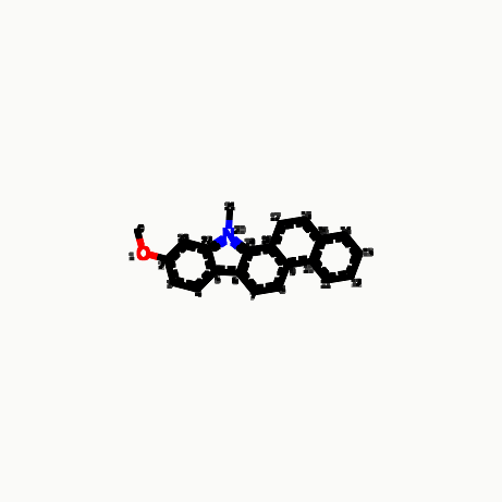 COc1ccc2c3ccc4c5ccccc5ccc4c3n(C)c2c1